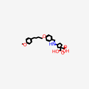 COc1ccc(CCCCOc2ccc(CNC3CCC(C(=O)O)(C(=O)O)C3)cc2)cc1